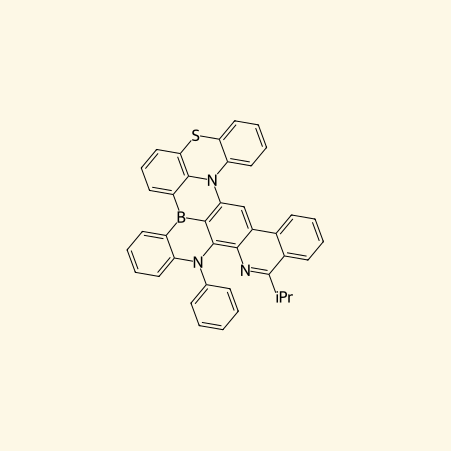 CC(C)c1nc2c3c4c(cc2c2ccccc12)N1c2ccccc2Sc2cccc(c21)B4c1ccccc1N3c1ccccc1